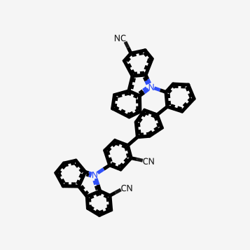 N#Cc1ccc2c(c1)c1ccccc1n2-c1ccccc1-c1ccc(-c2ccc(-n3c4ccccc4c4cccc(C#N)c43)cc2C#N)cc1